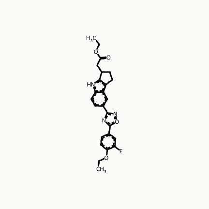 CCOC(=O)CC1CCc2c1[nH]c1ccc(-c3noc(-c4ccc(OCC)c(F)c4)n3)cc21